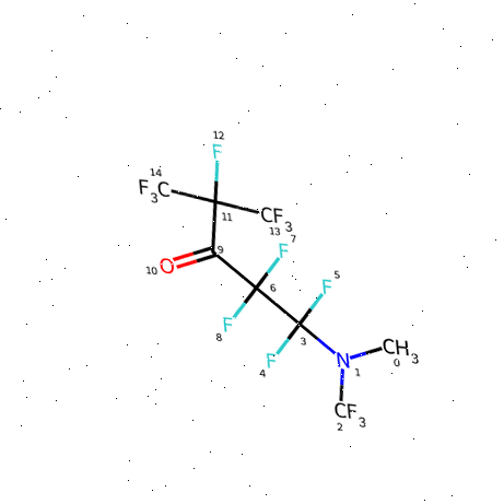 CN(C(F)(F)F)C(F)(F)C(F)(F)C(=O)C(F)(C(F)(F)F)C(F)(F)F